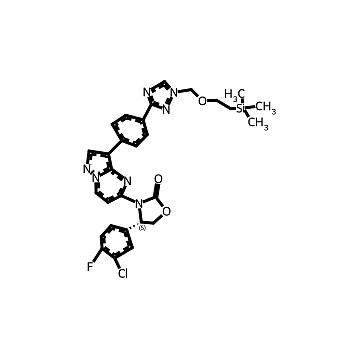 C[Si](C)(C)CCOCn1cnc(-c2ccc(-c3cnn4ccc(N5C(=O)OC[C@@H]5c5ccc(F)c(Cl)c5)nc34)cc2)n1